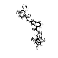 C[C@H]1CN(C(=O)Cc2cn3c(C(=O)NC[C@@H]4CC[C@@H]5C[C@@H]4C5(C)C)cccc3n2)CCN1